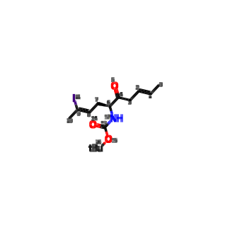 C/C=C/CC(=O)[C@H](C/C=C(/C)I)NC(=O)OC(C)(C)C